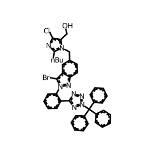 CCCCc1nc(Cl)c(CO)n1Cc1ccc2nn(-c3ccccc3-c3nnn(C(c4ccccc4)(c4ccccc4)c4ccccc4)n3)c(Br)c2c1